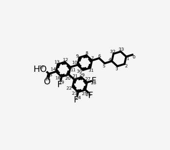 CC1CCC(CCc2ccc(-c3ccc(C(=O)O)c(F)c3-c3cc(F)c(F)c(F)c3)cc2)CC1